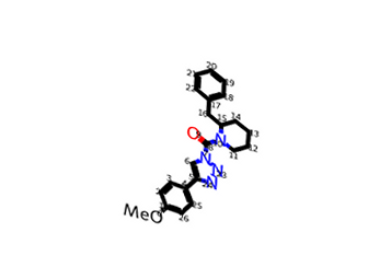 COc1ccc(-c2cn(C(=O)N3CCCCC3Cc3ccccc3)nn2)cc1